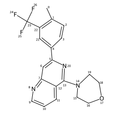 Cc1ccc(-c2cc3ncccc3c(N3CCOCC3)n2)cc1C(F)(F)F